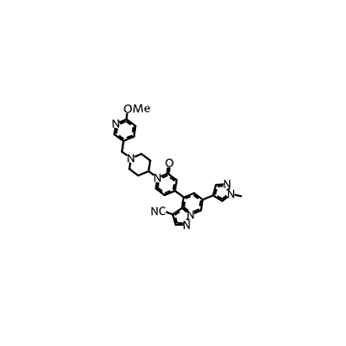 COc1ccc(CN2CCC(n3ccc(-c4cc(-c5cnn(C)c5)cn5ncc(C#N)c45)cc3=O)CC2)cn1